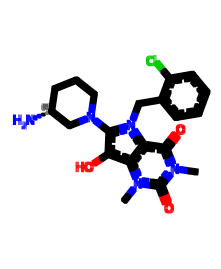 Cn1c(=O)c2c(c(O)c(N3CCC[C@@H](N)C3)n2Cc2ccccc2Cl)n(C)c1=O